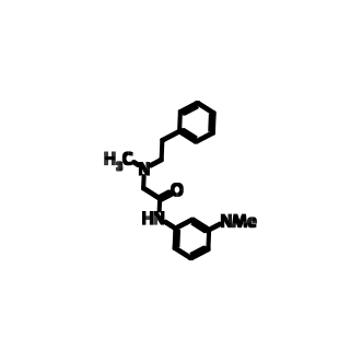 CNc1cccc(NC(=O)CN(C)CCc2ccccc2)c1